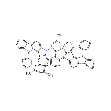 N#Cc1ccc(-c2cc(-c3ccc(C(F)(F)F)cc3C(F)(F)F)ccc2-n2c3ccccc3c3c4c(ccc32)-c2ccccc2C4c2ccccc2)c(-n2c3ccccc3c3c4c(ccc32)-c2ccccc2C4c2ccccc2)c1